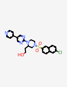 O=S(=O)(c1ccc2cc(Cl)ccc2c1)N1CCN(c2ncc(-c3ccncc3)cn2)C(CCO)C1